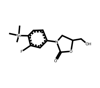 [CH3][Sn]([CH3])([CH3])[c]1ccc(N2CC(CO)OC2=O)cc1F